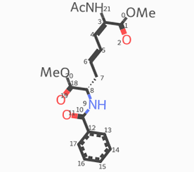 COC(=O)C(=CC=CC[C@H](NC(=O)c1ccccc1)C(=O)OC)NC(C)=O